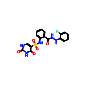 O=C(NNc1ccccc1F)c1ccccc1NS(=O)(=O)c1c[nH]c(=O)[nH]c1=O